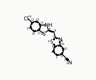 N#Cc1ccc2sc(/C=C3/Nc4cc(Cl)ccc4S3)nc2c1